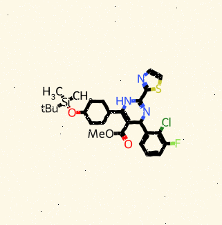 COC(=O)C1=C(C2CCC(O[Si](C)(C)C(C)(C)C)CC2)NC(c2nccs2)=NC1c1cccc(F)c1Cl